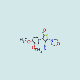 COc1ccc(-c2c(C=O)sc(N3CCOCC3)c2C#N)cc1OC